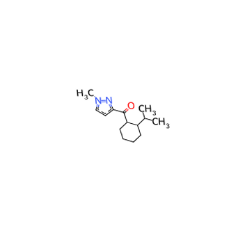 CC(C)C1CCCCC1C(=O)c1ccn(C)n1